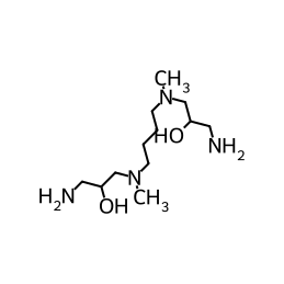 CN(CCCCN(C)CC(O)CN)CC(O)CN